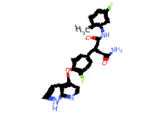 Cc1ccc(F)cc1NC(=O)C(C(N)=O)c1ccc(Oc2ccnc3[nH]ccc23)c(F)c1